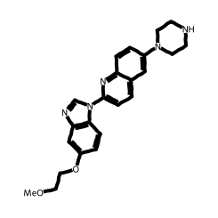 COCCOc1ccc2c(c1)ncn2-c1ccc2cc(N3CCNCC3)ccc2n1